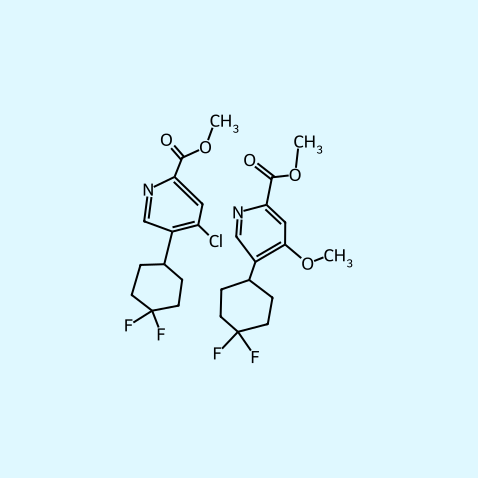 COC(=O)c1cc(Cl)c(C2CCC(F)(F)CC2)cn1.COC(=O)c1cc(OC)c(C2CCC(F)(F)CC2)cn1